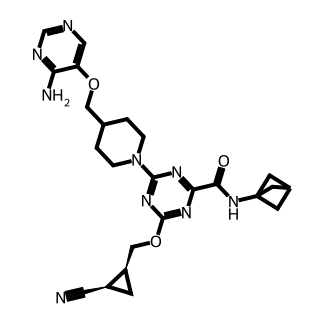 N#C[C@@H]1C[C@@H]1COc1nc(C(=O)NC23CC(C2)C3)nc(N2CCC(COc3cncnc3N)CC2)n1